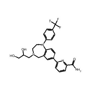 NC(=O)c1cccc(-c2ccc3c(c2)CN(CC(O)CO)CCN3c2ccc(C(F)(F)F)cc2)n1